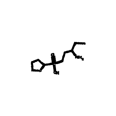 CCC(N)CCP(=O)(O)C1CCCO1